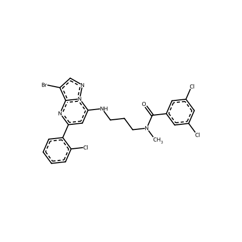 CN(CCCNc1cc(-c2ccccc2Cl)nc2c(Br)cnn12)C(=O)c1cc(Cl)cc(Cl)c1